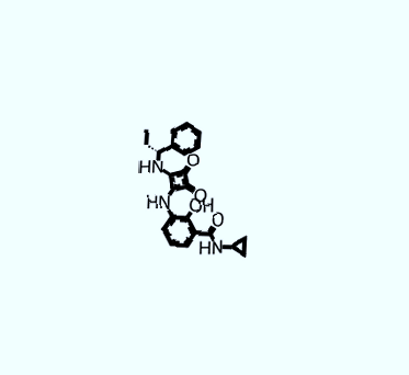 CC[C@@H](Nc1c(Nc2cccc(C(=O)NC3CC3)c2O)c(=O)c1=O)c1ccccc1